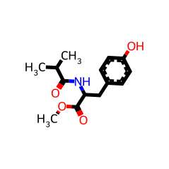 COC(=O)C(Cc1ccc(O)cc1)NC(=O)C(C)C